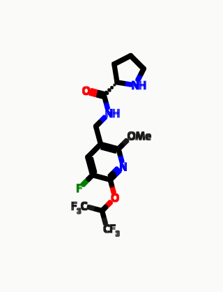 COc1nc(OC(C(F)(F)F)C(F)(F)F)c(F)cc1CNC(=O)[C@@H]1CCCN1